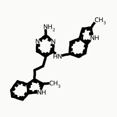 Cc1cc2cc(Nc3nc(N)ncc3CCc3c(C)[nH]c4ccccc34)ccc2[nH]1